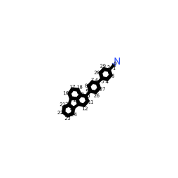 N#Cc1ccc(-c2ccc(-c3ccc4c5c(cccc35)-c3ccccc3-4)cc2)cc1